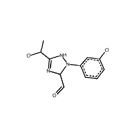 CC(Cl)C1=NC(C=O)N(c2cccc(Cl)c2)N1